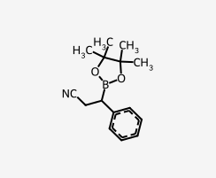 CC1(C)OB(C(CC#N)c2ccccc2)OC1(C)C